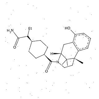 CCC(C(N)=O)[C@H]1CC[C@@H](C(=O)N2CC[C@@]3(C)c4cccc(O)c4C[C@@H]2C3(C)C)CC1